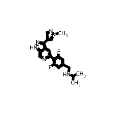 CC(C)NCc1cc(F)c(-c2cc3c(-c4cnn(C)c4)n[nH]c3cn2)c(F)c1